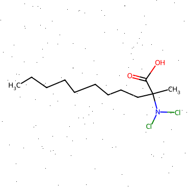 CCCCCCCCCC(C)(C(=O)O)N(Cl)Cl